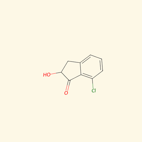 O=C1c2c(Cl)cccc2CC1O